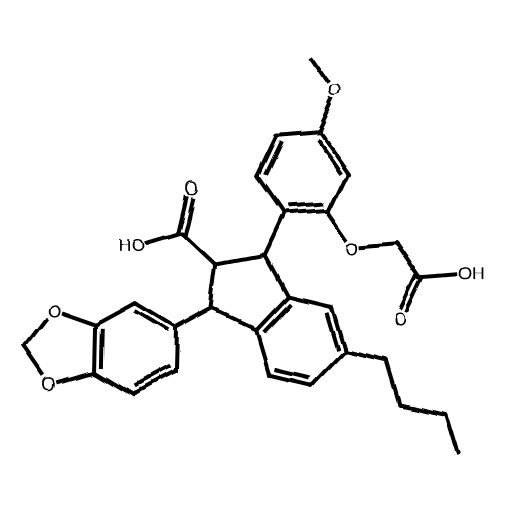 CCCCc1ccc2c(c1)C(c1ccc(OC)cc1OCC(=O)O)C(C(=O)O)C2c1ccc2c(c1)OCO2